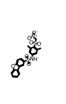 Cc1cc(NS(=O)(=O)c2ccc3oc4ccccc4c3c2)cc(C)c1S(=O)(=O)C[N+](=O)[O-]